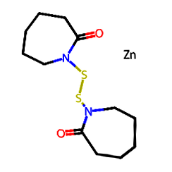 O=C1CCCCCN1SSN1CCCCCC1=O.[Zn]